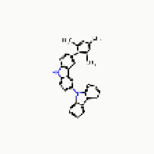 Cc1cc(C)c(-c2ccc3[nH]c4ccc(-n5c6ccccc6c6ccccc65)cc4c3c2)c(C)c1